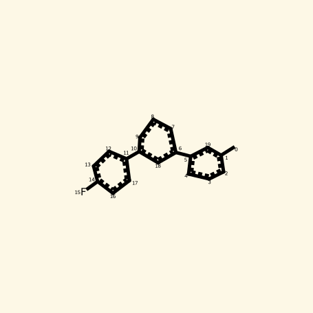 Cc1cccc(-c2cccc(-c3ccc(F)cc3)c2)c1